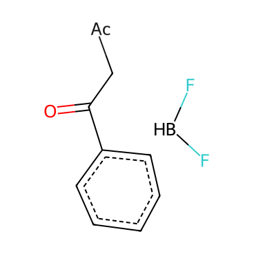 CC(=O)CC(=O)c1ccccc1.FBF